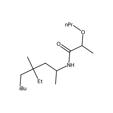 CCCOC(C)C(=O)NC(C)CC(C)(CC)CC(C)CC